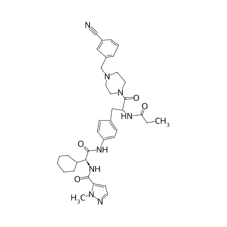 CCC(=O)NC(Cc1ccc(NC(=O)[C@@H](NC(=O)c2ccnn2C)C2CCCCC2)cc1)C(=O)N1CCN(Cc2cccc(C#N)c2)CC1